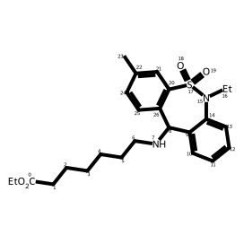 CCOC(=O)CCCCCCNC1c2ccccc2N(CC)S(=O)(=O)c2cc(C)ccc21